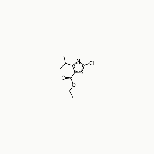 CCOC(=O)c1sc(Cl)nc1C(C)C